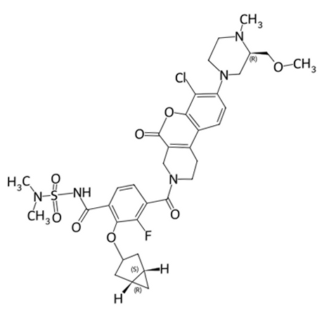 COC[C@H]1CN(c2ccc3c4c(c(=O)oc3c2Cl)CN(C(=O)c2ccc(C(=O)NS(=O)(=O)N(C)C)c(OC3C[C@@H]5C[C@@H]5C3)c2F)CC4)CCN1C